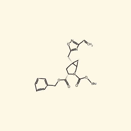 C=Cc1noc(C[C@]23CC2N(C(=O)OC(C)(C)C)[C@H](C(=O)OCc2ccccc2)C3)n1